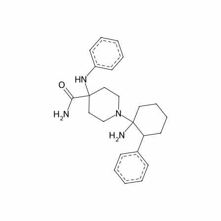 NC(=O)C1(Nc2ccccc2)CCN(C2(N)CCCCC2c2ccccc2)CC1